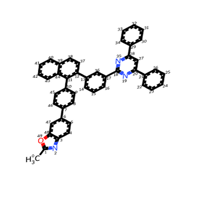 Cc1nc2ccc(-c3ccc(-c4c(-c5cccc(-c6nc(-c7ccccc7)cc(-c7ccccc7)n6)c5)ccc5ccccc45)cc3)cc2o1